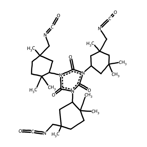 CC1(C)CC(n2c(=O)n(C3CC(C)(CN=C=O)CCC3(C)C)c(=O)n(C3CC(C)(CN=C=O)CCC3(C)C)c2=O)CC(C)(CN=C=O)C1